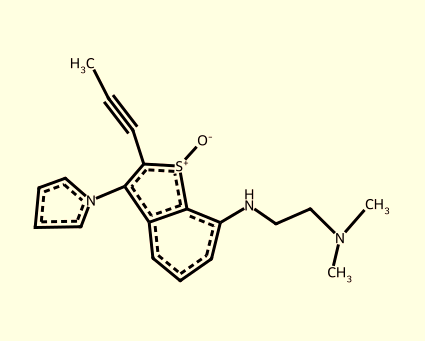 CC#Cc1c(-n2cccc2)c2cccc(NCCN(C)C)c2[s+]1[O-]